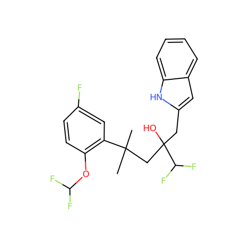 CC(C)(CC(O)(Cc1cc2ccccc2[nH]1)C(F)F)c1cc(F)ccc1OC(F)F